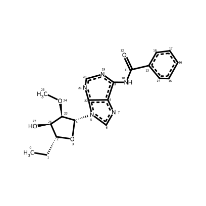 CC[C@H]1O[C@@H](n2cnc3c(NC(=O)c4ccccc4)ncnc32)[C@H](OC)[C@@H]1O